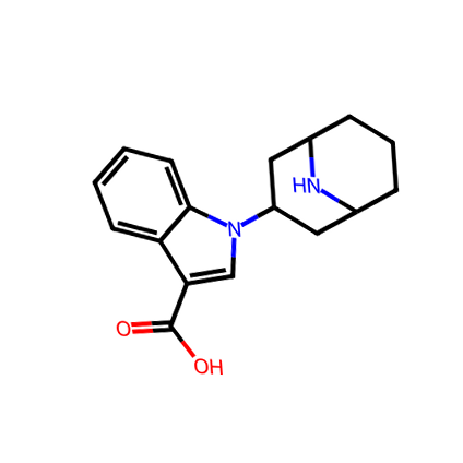 O=C(O)c1cn(C2CC3CCCC(C2)N3)c2ccccc12